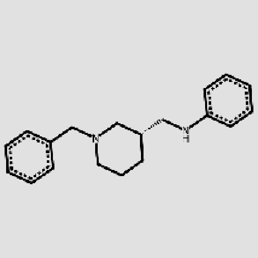 c1ccc(CN2CCC[C@@H](CNc3ccccc3)C2)cc1